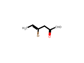 CC=C(Br)[CH]C(=O)C=O